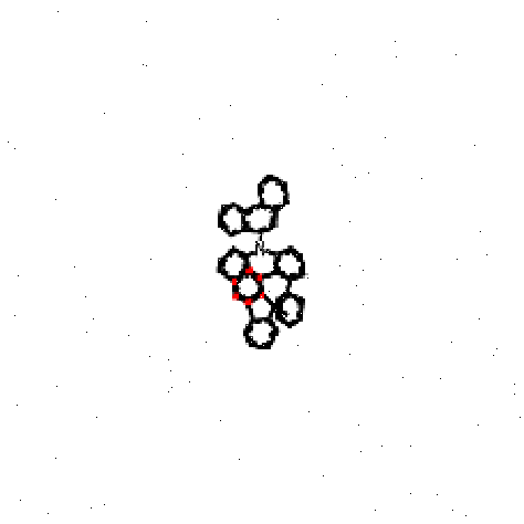 CC1(C)c2ccccc2-c2cccc(-c3c(-c4ccccc4)cccc3N(c3cccc4ccccc34)c3cc4ccccc4c4ccccc34)c21